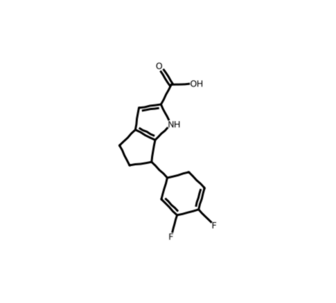 O=C(O)c1cc2c([nH]1)C(C1C=C(F)C(F)=CC1)CC2